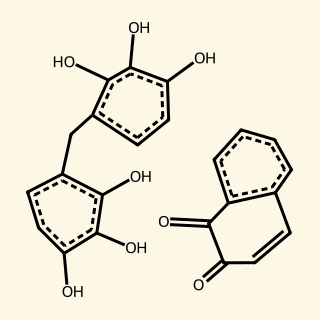 O=C1C=Cc2ccccc2C1=O.Oc1ccc(Cc2ccc(O)c(O)c2O)c(O)c1O